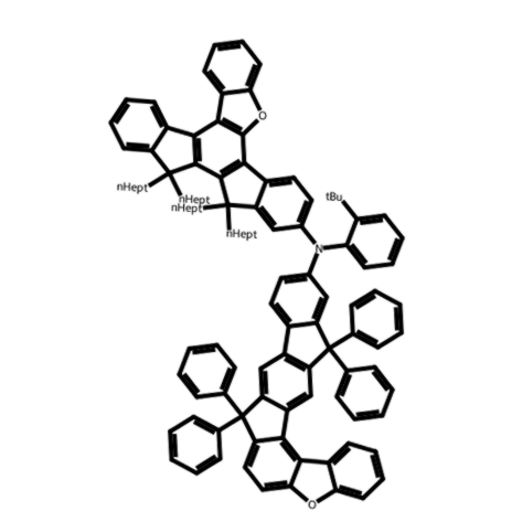 CCCCCCCC1(CCCCCCC)c2cc(N(c3ccc4c(c3)C(c3ccccc3)(c3ccccc3)c3cc5c(cc3-4)C(c3ccccc3)(c3ccccc3)c3ccc4oc6ccccc6c4c3-5)c3ccccc3C(C)(C)C)ccc2-c2c1c1c(c3c2oc2ccccc23)-c2ccccc2C1(CCCCCCC)CCCCCCC